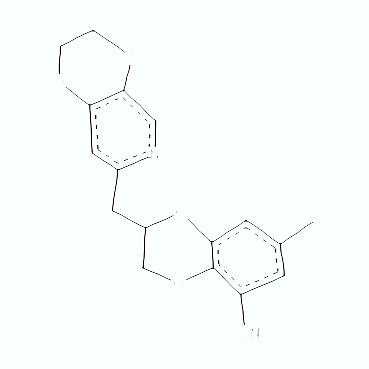 Cc1cc(C#N)c2c(c1)OC(Cc1cc3c(cn1)OCCO3)CO2